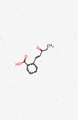 CCC(=O)C=Cc1ccccc1C(=O)O